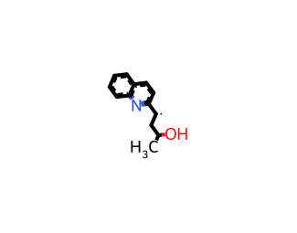 CC(O)C[CH]c1ccc2ccccc2n1